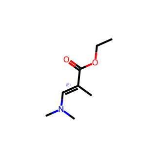 CCOC(=O)/C(C)=C/N(C)C